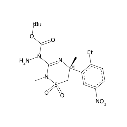 CCc1ccc([N+](=O)[O-])cc1[C@]1(C)CS(=O)(=O)N(C)C(N(N)C(=O)OC(C)(C)C)=N1